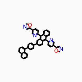 c1ccc2c(-c3ccc(-c4ccc5c(-c6ccc(-c7cnco7)cn6)c6ccccc6c(-c6ccc(-c7cnco7)cn6)c5c4)cc3)cccc2c1